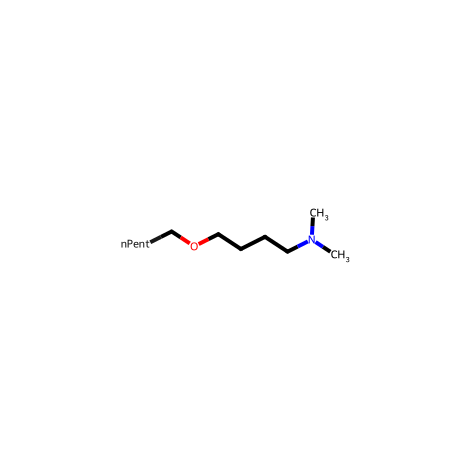 CCCCCCOCCCCN(C)C